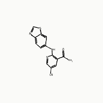 N#Cc1cnc(Nc2ccc3ncsc3c2)c(C(N)=O)c1